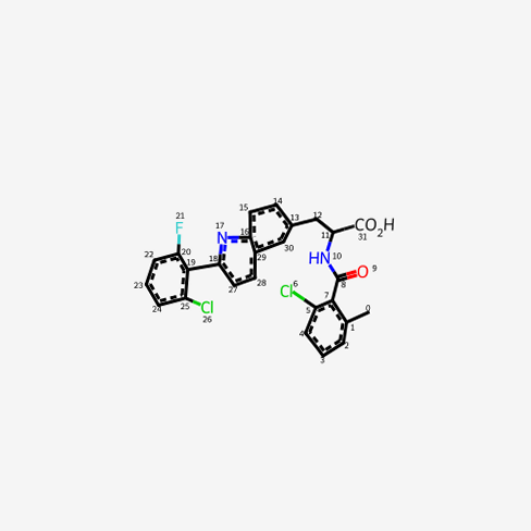 Cc1cccc(Cl)c1C(=O)NC(Cc1ccc2nc(-c3c(F)cccc3Cl)ccc2c1)C(=O)O